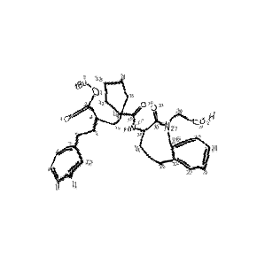 CC(C)(C)OC(=O)C(CCc1ccccc1)CC1(C(=O)NC2CCc3ccccc3N(CC(=O)O)C2=O)CCCC1